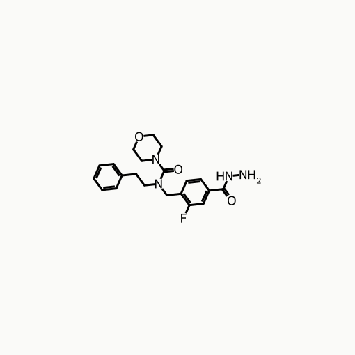 NNC(=O)c1ccc(CN(CCc2ccccc2)C(=O)N2CCOCC2)c(F)c1